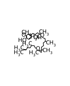 COc1cc(CC(O)CC(C)(C)OCCC(C)CCCC2(C)CC2(C)OCCC(C)CCC=C(C)C)ccc1O